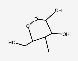 CC1C(CO)OOC(O)C1O